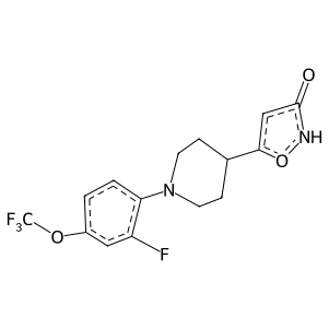 O=c1cc(C2CCN(c3ccc(OC(F)(F)F)cc3F)CC2)o[nH]1